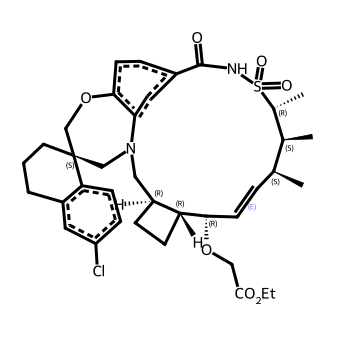 CCOC(=O)CO[C@H]1/C=C/[C@H](C)[C@H](C)[C@@H](C)S(=O)(=O)NC(=O)c2ccc3c(c2)N(C[C@@H]2CC[C@H]21)C[C@@]1(CCCc2cc(Cl)ccc21)CO3